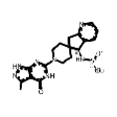 CC(C)(C)[S@@+]([O-])N[C@@H]1c2cccnc2CC12CCN(c1nc3[nH]nc(I)c3c(=O)[nH]1)CC2